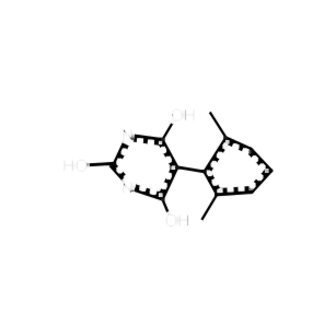 Cc1cccc(C)c1-c1c(O)nc(O)nc1O